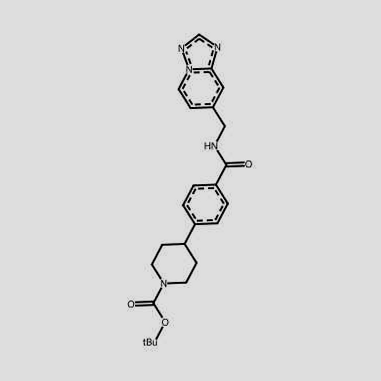 CC(C)(C)OC(=O)N1CCC(c2ccc(C(=O)NCc3ccn4ncnc4c3)cc2)CC1